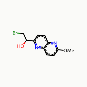 COc1ccc2nc([C@@H](O)CBr)ccc2n1